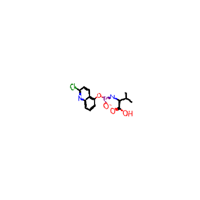 CC(C)C(/N=[P+](\[O-])Oc1cccc2nc(Cl)ccc12)C(=O)O